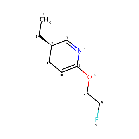 CC[C@H]1C=NC(OCCF)=CC1